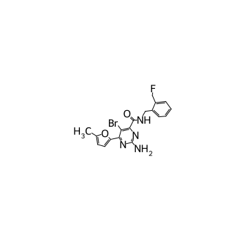 Cc1ccc(-c2nc(N)nc(C(=O)NCc3ccccc3CF)c2Br)o1